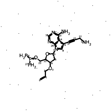 C=CCOC1CC(n2cc(C#CCN)c3c(N)ncnc32)OC1COP(P)P